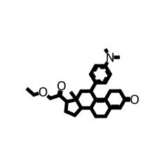 CCOCC(=O)C1CCC2C3CCC4=CC(=O)CCC4=C3C(c3ccc(N(C)C)cc3)CC12C